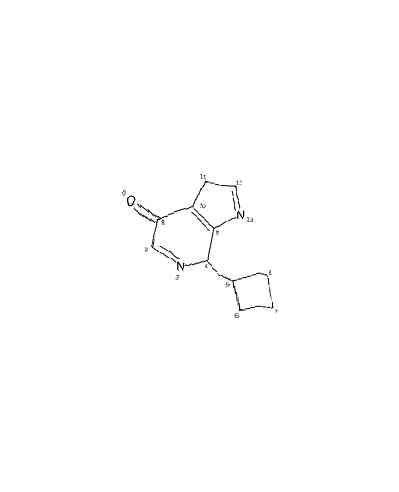 O=C1C=NC(C2CCC2)C2=C1CC=N2